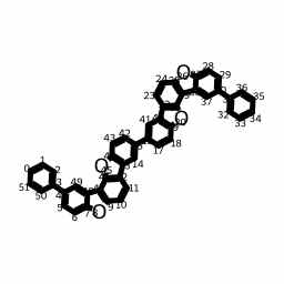 c1ccc(-c2ccc3oc4ccc5c6cc(-c7ccc8oc9c(ccc%10oc%11ccc(-c%12ccccc%12)cc%11c%109)c8c7)ccc6oc5c4c3c2)cc1